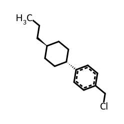 CCC[C@H]1CC[C@H](c2ccc(CCl)cc2)CC1